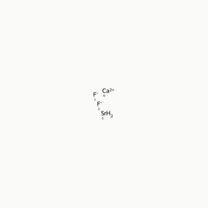 [Ca+2].[F-].[F-].[SrH2]